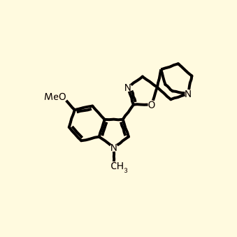 COc1ccc2c(c1)c(C1=NCC3(CN4CCC3CC4)O1)cn2C